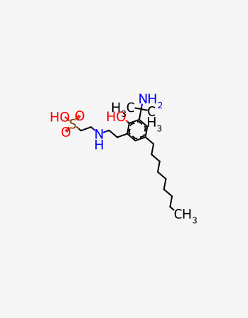 CCCCCCCCCc1cc(CCNCCS(=O)(=O)O)c(O)c(C(C)(C)N)c1